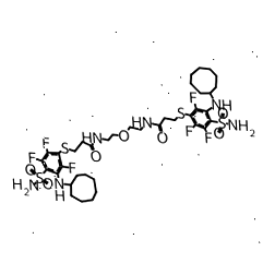 NS(=O)(=O)c1c(F)c(F)c(SCCC(=O)NCCOCCNC(=O)CCSc2c(F)c(F)c(S(N)(=O)=O)c(NC3CCCCCCC3)c2F)c(F)c1NC1CCCCCCC1